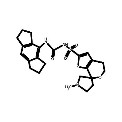 CN1CCC2(C1)OCCc1cc(S(=O)(=O)NC(=O)Nc3c4c(cc5c3CCC5)CCC4)sc12